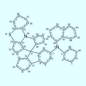 c1ccc(N(c2ccc3c(c2)C2(c4ccccc4-3)c3ccccc3N3c4ccccc4Sc4cccc2c43)c2cccc3ccccc23)cc1